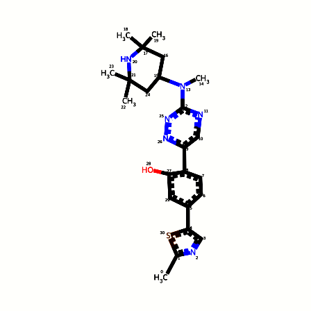 Cc1ncc(-c2ccc(-c3cnc(N(C)C4CC(C)(C)NC(C)(C)C4)nn3)c(O)c2)s1